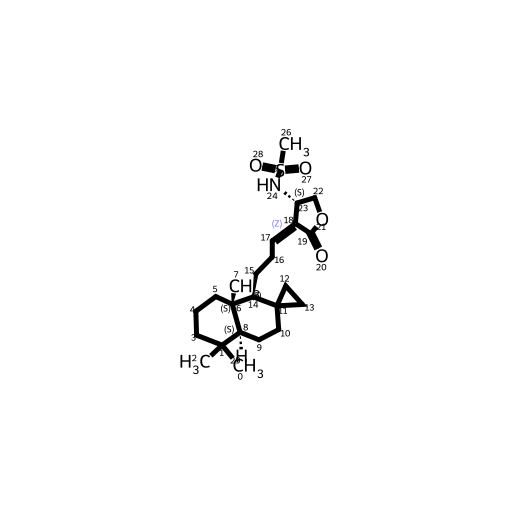 CC1(C)CCC[C@@]2(C)[C@H]1CCC1(CC1)[C@@H]2CC/C=C1\C(=O)OC[C@H]1NS(C)(=O)=O